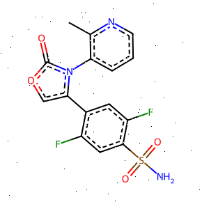 Cc1ncccc1-n1c(-c2cc(F)c(S(N)(=O)=O)cc2F)coc1=O